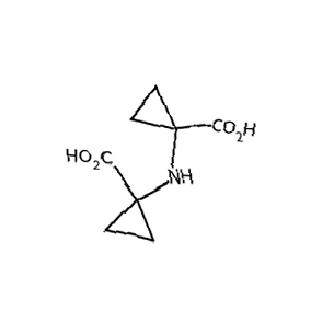 O=C(O)C1(NC2(C(=O)O)CC2)CC1